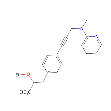 CCOC(=O)C(Cc1ccc(C#CCN(C)c2ccccn2)cc1)OCC